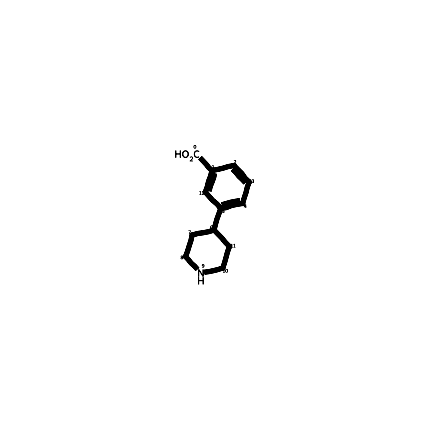 O=C(O)c1cccc(C2CCNCC2)c1